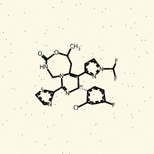 CC1CC2=C(c3ccn(C(F)F)n3)[C@H](c3ccc(F)cc3Cl)N=C(c3nccs3)N2CNC(=O)O1